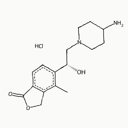 Cc1c([C@@H](O)CN2CCC(N)CC2)ccc2c1COC2=O.Cl